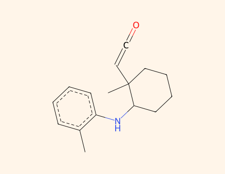 Cc1ccccc1NC1CCCCC1(C)C=C=O